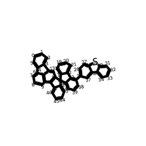 c1ccc2c(c1)-c1cccc3c4c(cc-2c13)C1(c2ccccc2-c2c(-c3ccc5sc6ccccc6c5c3)cccc21)c1ccccc1-4